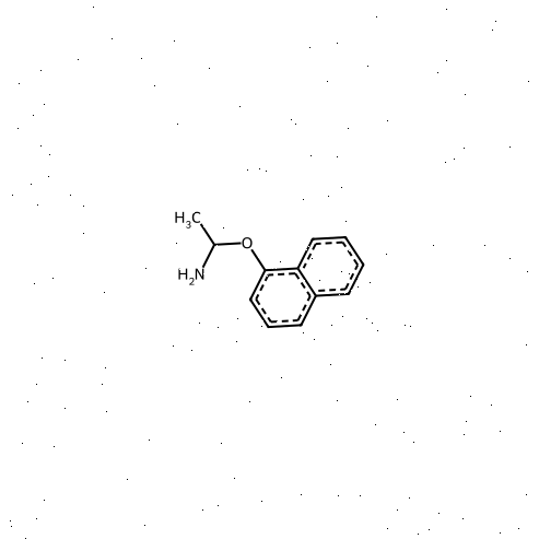 CC(N)Oc1cccc2ccccc12